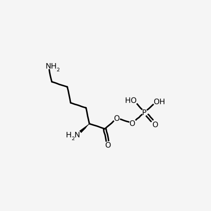 NCCCC[C@H](N)C(=O)OOP(=O)(O)O